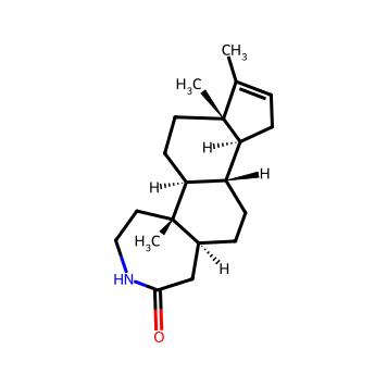 CC1=CC[C@H]2[C@@H]3CC[C@H]4CC(=O)NCC[C@]4(C)[C@H]3CC[C@]12C